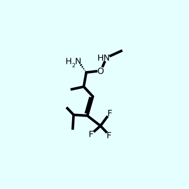 CNO[C@@H](N)C(C)/C=C(\C(C)C)C(F)(F)F